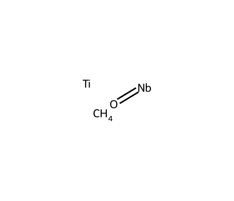 C.[O]=[Nb].[Ti]